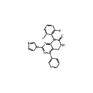 O=C1NCc2c(-c3ccccc3)nc(-n3ccnc3)nc2N1c1c(F)cccc1F